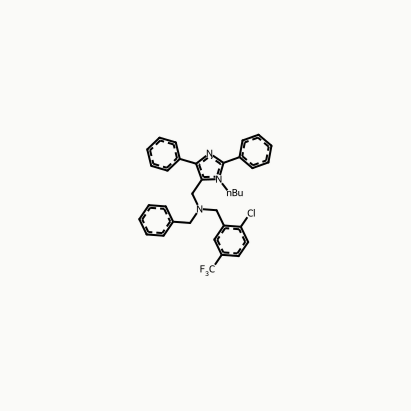 CCCCn1c(-c2ccccc2)nc(-c2ccccc2)c1CN(Cc1ccccc1)Cc1cc(C(F)(F)F)ccc1Cl